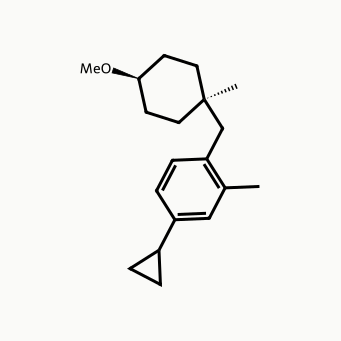 CO[C@H]1CC[C@@](C)(Cc2ccc(C3CC3)cc2C)CC1